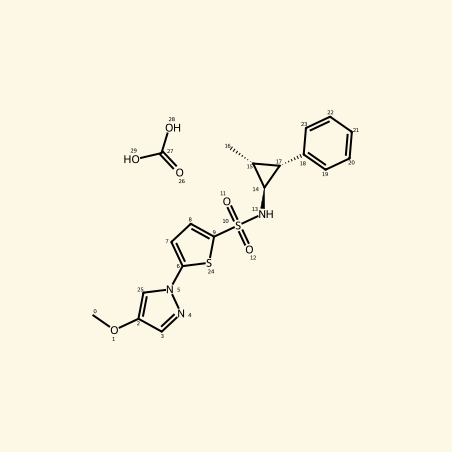 COc1cnn(-c2ccc(S(=O)(=O)N[C@H]3[C@H](C)[C@@H]3c3ccccc3)s2)c1.O=C(O)O